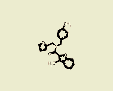 Cc1ccc(CN(Cc2ccco2)C(=O)c2oc3ccccc3c2C)cc1